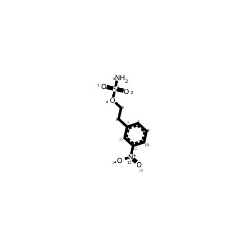 NS(=O)(=O)OCCc1cccc([N+](=O)[O-])c1